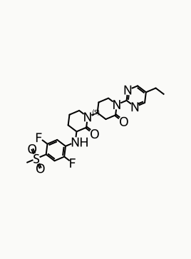 CCc1cnc(N2CC[C@H](N3CCCC(Nc4cc(F)c(S(C)(=O)=O)cc4F)C3=O)CC2=O)nc1